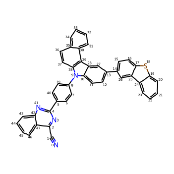 N#Cc1nc(-c2ccc(-n3c4ccc(-c5ccc6sc7ccccc7c6c5)cc4c4c5ccccc5ccc43)cc2)nc2ccccc12